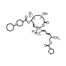 C/C(=C\C=C\C(C)COC(=O)N1CCCC1)[C@H]1OC(=O)C[C@@H](O)CC[C@@H](C)[C@@H](OC(=O)N2CCN(C3CCCCCC3)CC2)/C=C/[C@@H]1C